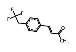 CC(=O)C=Cc1ccc(CC(F)(F)F)cc1